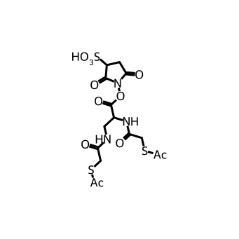 CC(=O)SCC(=O)NCC(NC(=O)CSC(C)=O)C(=O)ON1C(=O)CC(S(=O)(=O)O)C1=O